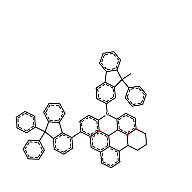 CC1(c2ccccc2)c2ccccc2-c2ccc(N(c3ccc(-c4cccc5c4-c4ccccc4C5(c4ccccc4)c4ccccc4)cc3)c3ccccc3-c3cccc4cccc(C5CCCCC5)c34)cc21